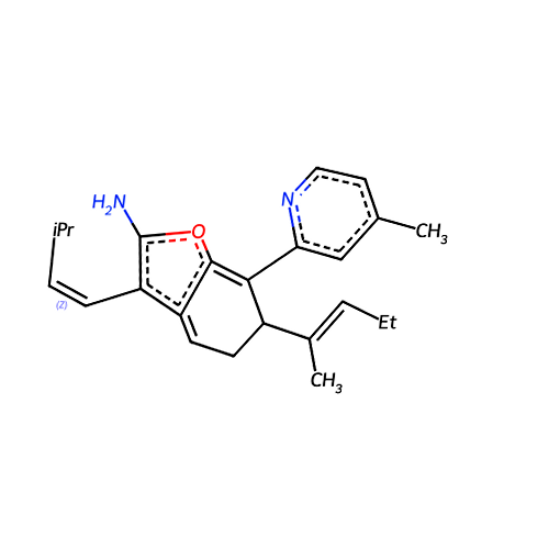 CCC=C(C)C1CC=c2c(/C=C\C(C)C)c(N)oc2=C1c1cc(C)ccn1